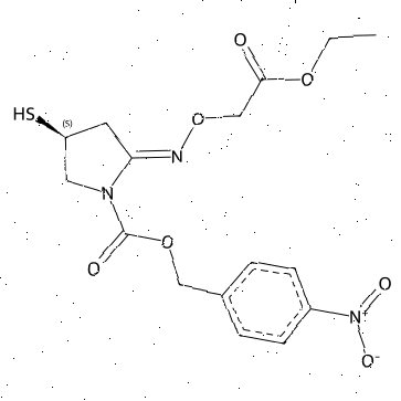 CCOC(=O)CON=C1C[C@H](S)CN1C(=O)OCc1ccc([N+](=O)[O-])cc1